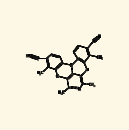 C#Cc1ccc2c(c1C)Oc1c(C)nc(C)c3c1B2c1ccc(C#N)c(C)c1O3